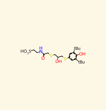 CC(C)(C)c1cc(SCC(O)CSCC(=O)NCCS(=O)(=O)O)cc(C(C)(C)C)c1O